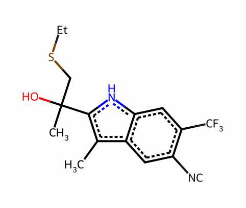 [C-]#[N+]c1cc2c(C)c(C(C)(O)CSCC)[nH]c2cc1C(F)(F)F